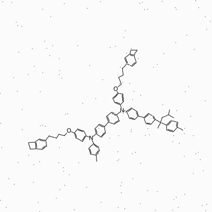 Cc1ccc(N(c2ccc(OCCCCc3ccc4c(c3)CC4)cc2)c2ccc(-c3ccc(N(c4ccc(OCCCCc5ccc6c(c5)CC6)cc4)c4ccc(-c5ccc(C(C)(CC(C)C)c6ccc(C)cc6)cc5)cc4)cc3)cc2)cc1